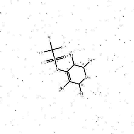 [2H]C1=C(OS(=O)(=O)C(F)(F)F)C([2H])C([2H])OC1[2H]